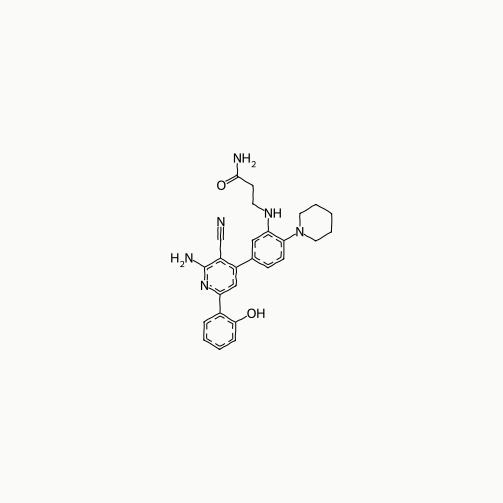 N#Cc1c(-c2ccc(N3CCCCC3)c(NCCC(N)=O)c2)cc(-c2ccccc2O)nc1N